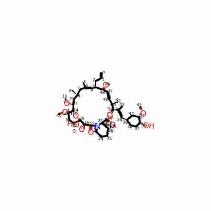 C=CC[C@@H]1/C=C(\C)C[C@H](C)C[C@H](OC)[C@H]2O[C@@](O)(C(=O)C(=O)N3CCCC[C@H]3C(=O)O[C@H](/C(C)=C/[C@@H]3CC[C@@H](O)[C@H](OC)C3)[C@H](C)/C=C/C1=O)[C@H](C)C[C@@H]2OC